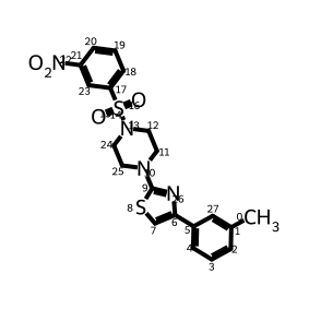 Cc1cccc(-c2csc(N3CCN(S(=O)(=O)c4cccc([N+](=O)[O-])c4)CC3)n2)c1